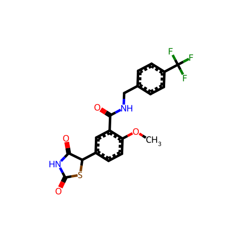 COc1ccc(C2SC(=O)NC2=O)cc1C(=O)NCc1ccc(C(F)(F)F)cc1